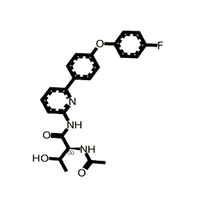 CC(=O)N[C@H](C(=O)Nc1cccc(-c2ccc(Oc3ccc(F)cc3)cc2)n1)C(C)O